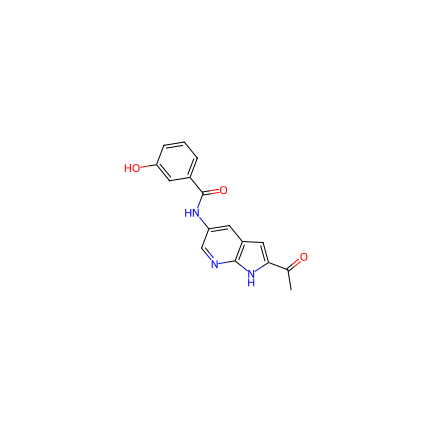 CC(=O)c1cc2cc(NC(=O)c3cccc(O)c3)cnc2[nH]1